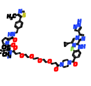 Cc1ncsc1-c1ccc(CNC(=O)[C@@H]2CCCN2C(=O)[C@@H](NC(=O)CCOCCOCCOCCOCCC(=O)N2CCN(C(=O)c3ccc(Nc4nc(C5CC5)cn5c(-c6cn[nH]c6)cnc45)c(F)c3)CC2)C(C)(C)C)cc1